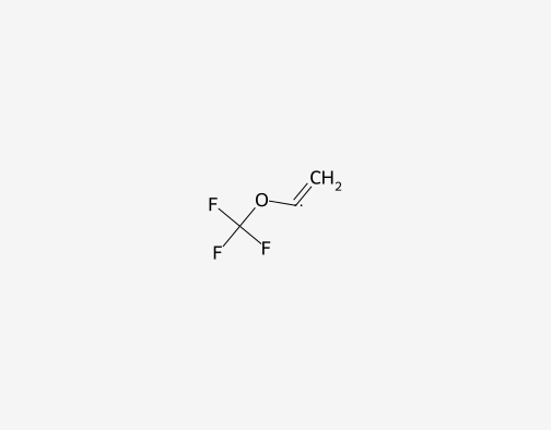 C=[C]OC(F)(F)F